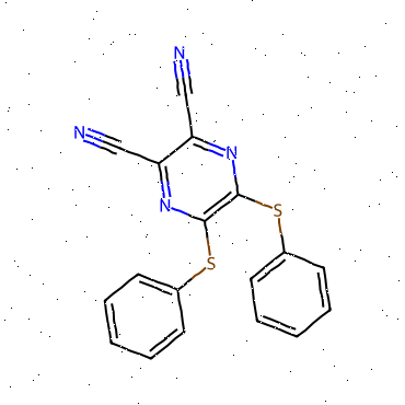 N#Cc1nc(Sc2ccccc2)c(Sc2ccccc2)nc1C#N